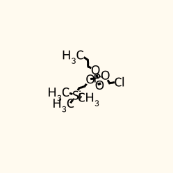 CCCOP(=O)(OCCl)OCC[Si](C)(C)C